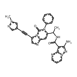 CC(NC(=O)c1c(N)nn2cccnc12)c1cc2ncc(C#Cc3cnn(C)c3)n2c(=O)n1-c1ccccc1